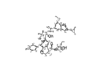 COc1cc(C(=O)NCC(O)(c2cc3c(c(-c4ccc(F)cc4)n2)OC[C@]3(C)C(=O)NCC(C)(C)O)C(F)(F)F)cc2cn(C3CC3)nc12